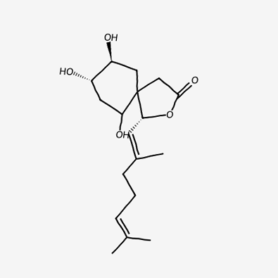 CC(C)=CCC/C(C)=C/[C@H]1OC(=O)CC12C[C@H](O)[C@@H](O)CC2O